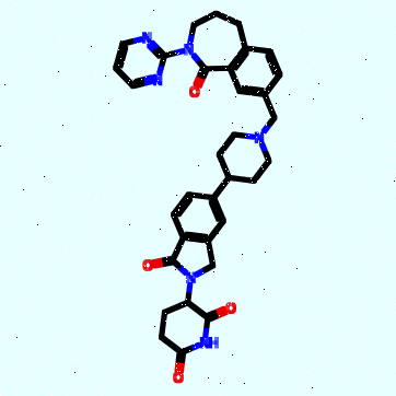 O=C1CCC(N2Cc3cc(C4CCN(Cc5ccc6c(c5)C(=O)N(c5ncccn5)CCC6)CC4)ccc3C2=O)C(=O)N1